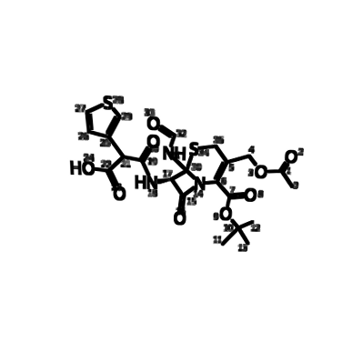 CC(=O)OCC1=C(C(=O)OC(C)(C)C)N2C(=O)[C@@H](NC(=O)C(C(=O)O)c3ccsc3)C2(NC=O)SC1